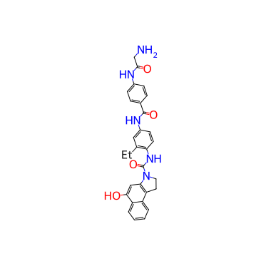 CCc1cc(NC(=O)c2ccc(NC(=O)CN)cc2)ccc1NC(=O)N1CCc2c1cc(O)c1ccccc21